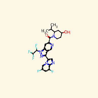 CC(C)C1CC(O)CCN1C(=O)c1cc2c(cn1)c(-c1cnc3c(F)cc(F)cn13)nn2C(F)C(F)F